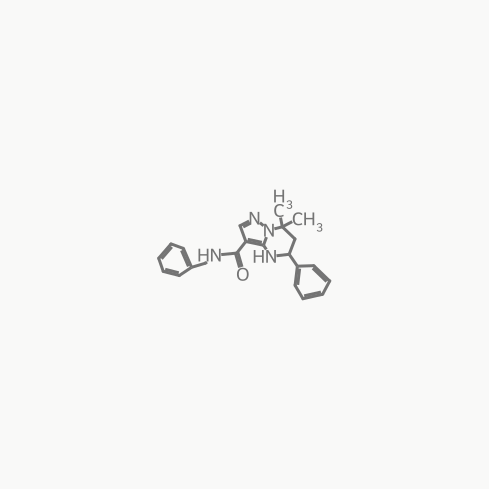 CC1(C)CC(c2ccccc2)Nc2c(C(=O)NCc3ccccc3)cnn21